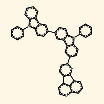 c1ccc(-n2c3ccccc3c3cc(-c4ccc5c(c4)c4cc(-c6ccc7c(n6)-c6cccc8nccc-7c68)ccc4n5-c4ccccc4)ccc32)cc1